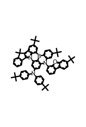 CC(C)(C)c1ccc(N(c2ccc(C(C)(C)C)cc2)c2cc3c4c(c2)-n2c5c(c6cc(C(C)(C)C)cc(c62)B4c2ccc(C(C)(C)C)cc2N3c2cccc3c2oc2cc(C(C)(C)C)ccc23)C(C)(C)c2ccccc2-5)cc1